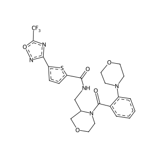 O=C(NCC1COCCN1C(=O)c1ccccc1N1CCOCC1)c1ccc(-c2noc(C(F)(F)F)n2)s1